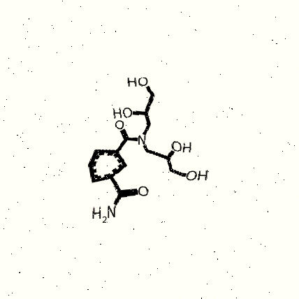 NC(=O)c1cccc(C(=O)N(CC(O)CO)CC(O)CO)c1